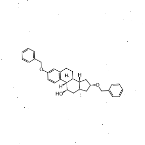 C[C@@]12C[C@H](OCc3ccccc3)C[C@H]1[C@@H]1CCc3cc(OCc4ccccc4)ccc3[C@H]1[C@H](O)C2